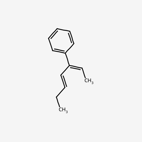 CC=C(C=CCC)c1ccccc1